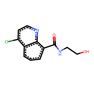 O=C(NCCO)c1cccc2c(Cl)ccnc12